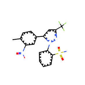 Cc1ccc(-c2cc(C(F)(F)F)nn2-c2ccccc2S(N)(=O)=O)cc1[N+](=O)[O-]